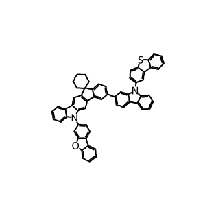 c1ccc2c(c1)oc1cc(-n3c4ccccc4c4cc5c(cc43)-c3cc(-c4ccc6c7ccccc7n(-c7ccc8sc9ccccc9c8c7)c6c4)ccc3C53CCCCC3)ccc12